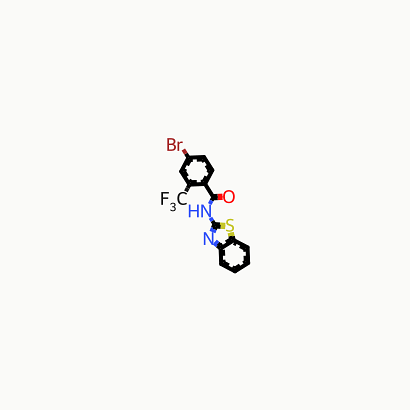 O=C(Nc1nc2ccccc2s1)c1ccc(Br)cc1C(F)(F)F